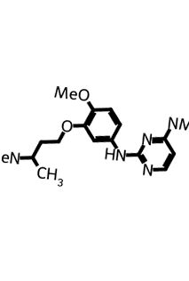 CNc1ccnc(Nc2ccc(OC)c(OCCC(C)NC)c2)n1